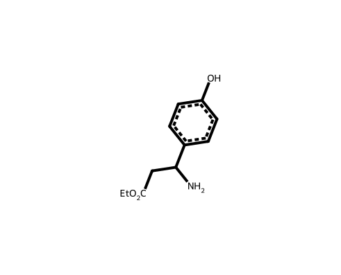 CCOC(=O)CC(N)c1ccc(O)cc1